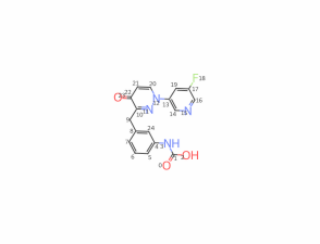 O=C(O)Nc1cccc(Cc2nn(-c3cncc(F)c3)ccc2=O)c1